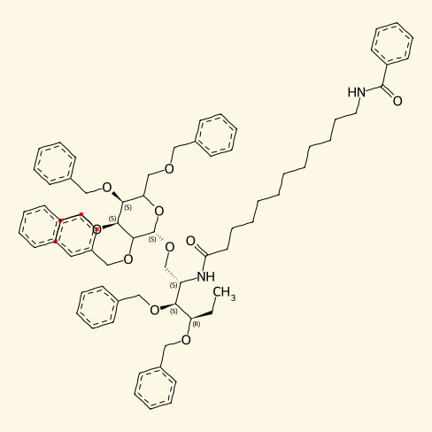 CC[C@@H](OCc1ccccc1)[C@@H](OCc1ccccc1)[C@H](CO[C@H]1OC(COCc2ccccc2)[C@H](OCc2ccccc2)[C@H](OCc2ccccc2)C1OCc1ccccc1)NC(=O)CCCCCCCCCCCNC(=O)c1ccccc1